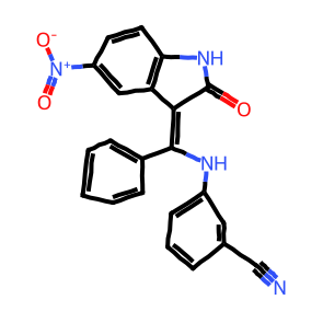 N#Cc1cccc(N/C(=C2\C(=O)Nc3ccc([N+](=O)[O-])cc32)c2ccccc2)c1